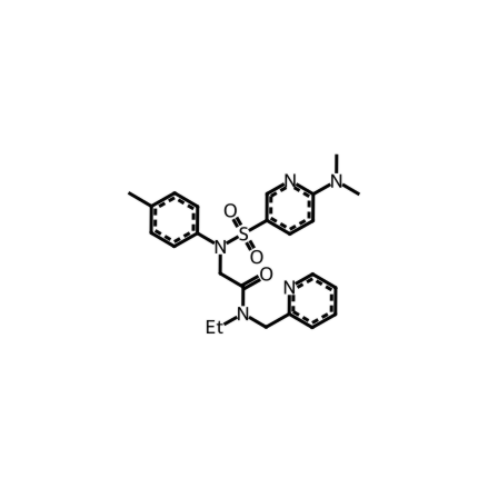 CCN(Cc1ccccn1)C(=O)CN(c1ccc(C)cc1)S(=O)(=O)c1ccc(N(C)C)nc1